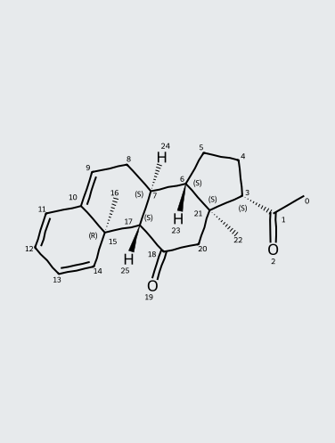 CC(=O)[C@H]1CC[C@H]2[C@@H]3CC=C4C=CC=C[C@]4(C)[C@H]3C(=O)C[C@]12C